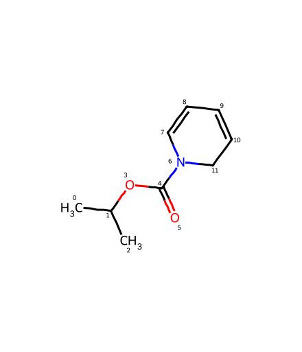 CC(C)OC(=O)N1C=CC=CC1